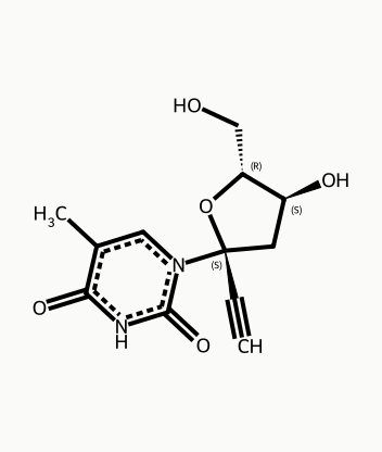 C#C[C@]1(n2cc(C)c(=O)[nH]c2=O)C[C@H](O)[C@@H](CO)O1